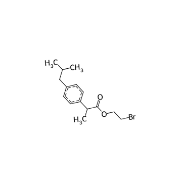 CC(C)Cc1ccc(C(C)C(=O)OCCBr)cc1